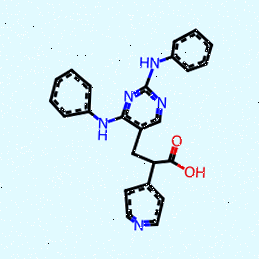 O=C(O)C(Cc1cnc(Nc2ccccc2)nc1Nc1ccccc1)c1ccncc1